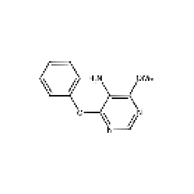 COc1ncnc(Oc2ccccc2)c1N